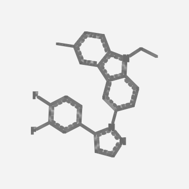 CCn1c2ccc(C)cc2c2cc(-n3nccc3-c3ccc(F)c(F)c3)ccc21